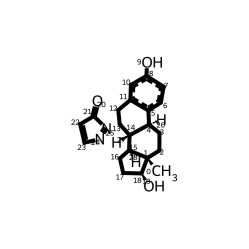 C[C@]12CC[C@@H]3c4ccc(O)cc4CC[C@H]3[C@@H]1CC[C@@H]2O.O=C1C=CN=N1